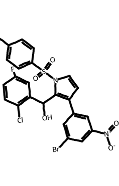 Cc1ccc(S(=O)(=O)n2ccc(-c3cc(Br)cc([N+](=O)[O-])c3)c2C(O)c2cc(F)ccc2Cl)cc1